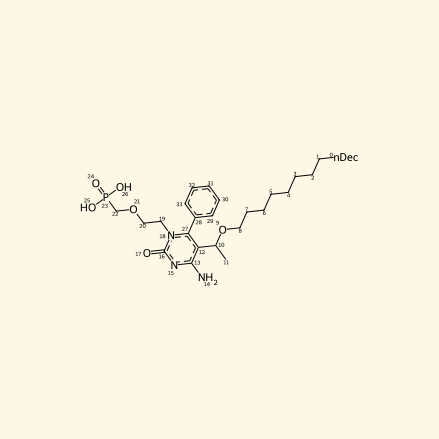 CCCCCCCCCCCCCCCCCCOC(C)c1c(N)nc(=O)n(CCOCP(=O)(O)O)c1-c1ccccc1